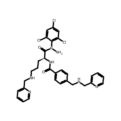 NN(C(=O)[C@H](CCCNCc1ccccn1)NC(=O)c1ccc(CNCc2ccccn2)cc1)c1c(Cl)cc(Cl)cc1Cl